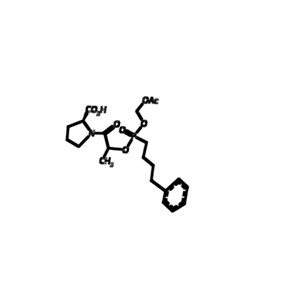 CC(=O)OCOP(=O)(CCCCc1ccccc1)OC(C)C(=O)N1CCC[C@H]1C(=O)O